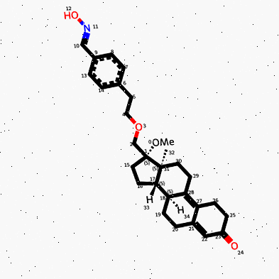 CO[C@@]1(COCCc2ccc(C=NO)cc2)CC[C@H]2[C@@H]3CCC4=CC(=O)CCC4=C3CC[C@@]21C